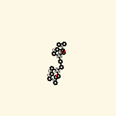 c1ccc(-c2nc(-c3cccc(-c4ccc(-c5nc(-c6ccccc6)nc(-c6cccc7oc8ccc9c(oc%10cccc(-n%11c%12ccccc%12c%12ccccc%12%11)c%109)c8c67)n5)cc4)c3)nc(-c3cccc4oc5c(ccc6c5oc5cccc(-n7c8ccccc8c8ccccc87)c56)c34)n2)cc1